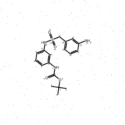 CC(C)(C)OC(=O)Nc1cccc(NS(=O)(=O)Cc2cccc(N)c2)c1